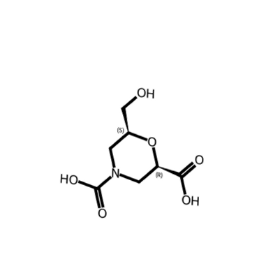 O=C(O)[C@H]1CN(C(=O)O)C[C@@H](CO)O1